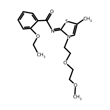 CCOc1ccccc1C(=O)/N=c1\sc(C)cn1CCOCCOC